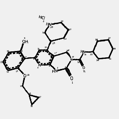 Cl.O=C1Nc2nc(-c3c(O)cccc3OCC3CC3)cc(C3CCCNC3)c2CN1C(=O)NC1CCCCC1